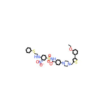 CCOc1cccc(-c2csc(CN3CCN(c4ccc(C(=O)NS(=O)(=O)c5ccc(NCCSc6ccccc6)c([N+](=O)[O-])c5)cc4)CC3)c2)c1